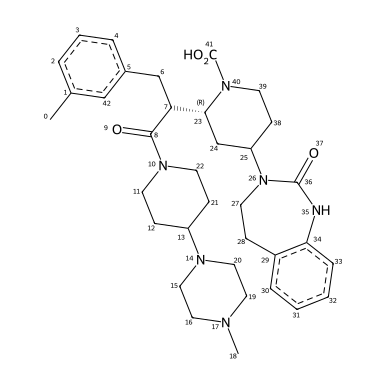 Cc1cccc(CC(C(=O)N2CCC(N3CCN(C)CC3)CC2)[C@H]2CC(N3CCc4ccccc4NC3=O)CCN2C(=O)O)c1